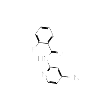 N#Cc1ccnc(NC(=O)c2ccccc2F)c1